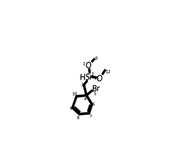 CO[SiH](CC1(Br)C=CC=CC1)OC